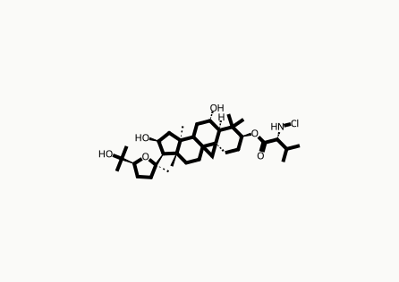 CC(C)[C@@H](NCl)C(=O)O[C@H]1CC[C@]23CC24CC[C@]2(C)[C@@H]([C@@]5(C)CC[C@@H](C(C)(C)O)O5)[C@@H](O)C[C@@]2(C)C4C[C@H](O)[C@H]3C1(C)C